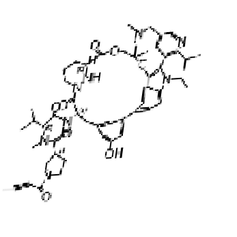 CC#CC(=O)N1CC[C@H](C(=O)N(C)[C@H](C(=O)N[C@H]2Cc3cc(O)cc(c3)-c3ccc4c(c3)c(c(-c3cc(CN(C)C)cnc3C(C)C)n4CC)CC(C)(C)COC(=O)[C@@H]3CCCN(N3)C2=O)C(C)C)C1